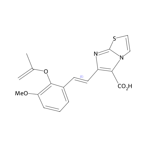 C=C(C)Oc1c(/C=C/c2nc3sccn3c2C(=O)O)cccc1OC